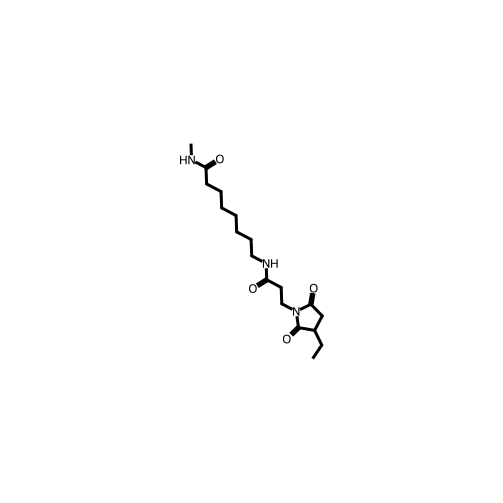 CCC1CC(=O)N(CCC(=O)NCCCCCCCC(=O)NC)C1=O